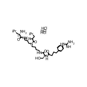 CC(C)C[C@H](N)C(=O)NCCCN(CCCCNC(=O)[C@H](CO)NC(=O)CCCc1ccc(NC(=N)N)cc1)C(=O)[C@@H](N)CC(C)C.Cl.Cl.Cl